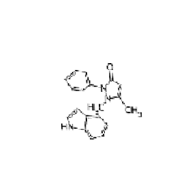 Cc1cc(=O)n(-c2ccccc2)n1C.c1ccc2[nH]ccc2c1